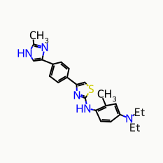 CCN(CC)c1ccc(Nc2nc(-c3ccc(-c4c[nH]c(C)n4)cc3)cs2)c(C)c1